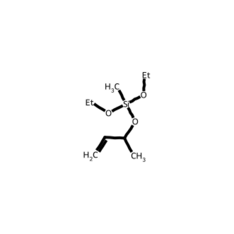 C=CC(C)O[Si](C)(OCC)OCC